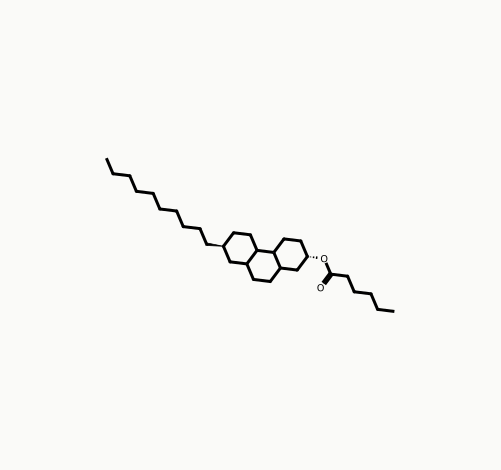 CCCCCCCCCC[C@H]1CCC2C(CCC3C[C@@H](OC(=O)CCCCC)CCC32)C1